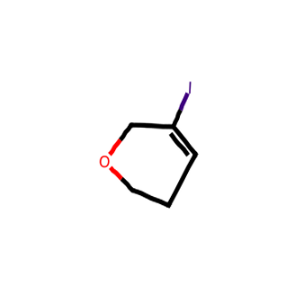 IC1=CCCOC1